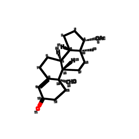 CC(=O)O[C@H]1CC[C@H]2[C@@H]3CCC4=CC(=O)CC[C@]4(C=O)[C@H]3CC[C@]12C